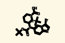 CC(C)(C)OC(=O)N(c1ccc2ncc(Br)n2c1)C1CCCN(C(=O)O)[C@@H]1C(C)(C)C